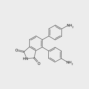 Nc1ccc(-c2ccc3c(c2-c2ccc(N)cc2)C(=O)NC3=O)cc1